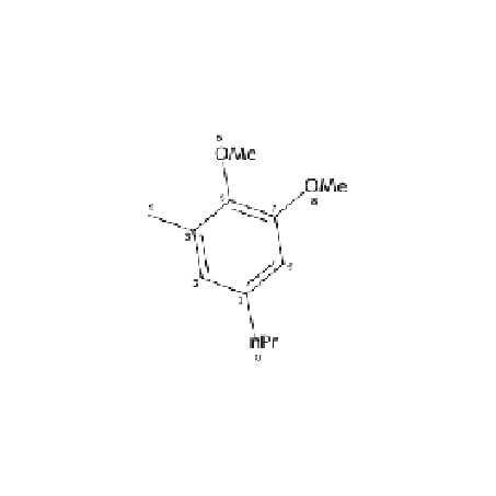 CCCc1cc(C)c(OC)c(OC)c1